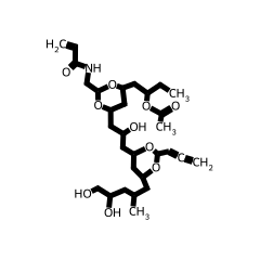 C=C=CC1OC(CC(C)CC(O)CO)CC(CC(O)CC2CC(CC(CC)OC(C)=O)OC(CNC(=O)C=C)O2)O1